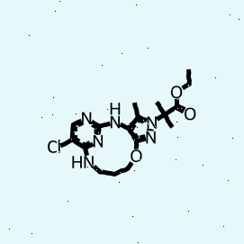 CCOC(=O)C(C)(C)n1nc2c(c1C)Nc1ncc(Cl)c(n1)NCCCO2